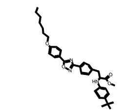 CCCCCCCOc1ccc(-c2nc(-c3ccc(CC(Nc4ccc(C(C)(C)C)cc4)C(=O)OC)cc3)no2)cc1